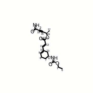 CCOC(=O)N[C@@H]1CCC=C(/C=C/C(=O)O[C@H](C)C#CC(N)=O)C1